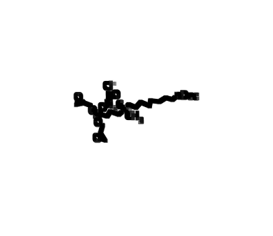 CCCCCCCCCCCCCCCCCC[N+](C)(C)CCC[Si](OCC1CO1)(OCC1CO1)OCC1CO1.[Cl-]